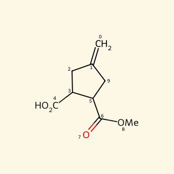 C=C1CC(C(=O)O)C(C(=O)OC)C1